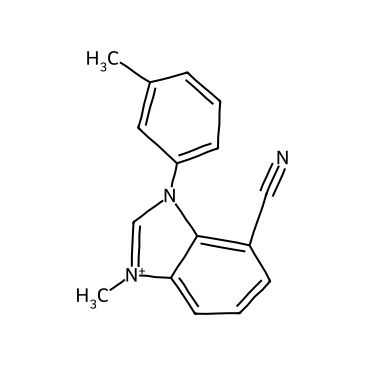 Cc1cccc(-n2c[n+](C)c3cccc(C#N)c32)c1